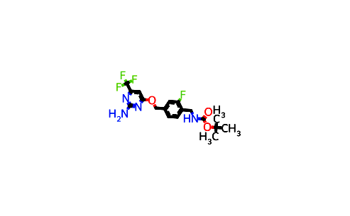 CC(C)(C)OC(=O)NCc1ccc(COc2cc(C(F)(F)F)nc(N)n2)cc1F